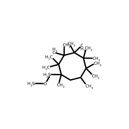 CC1CC(C)([SiH2]O[SiH3])C(C)(C)C(C)(C)C(C)(C)C(C)(C)C1(C)C